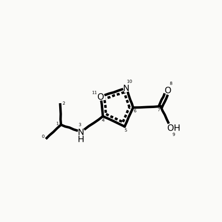 CC(C)Nc1cc(C(=O)O)no1